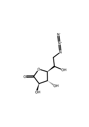 [N-]=[N+]=NCC(O)[C@@H]1OC(=O)[C@H](O)[C@H]1O